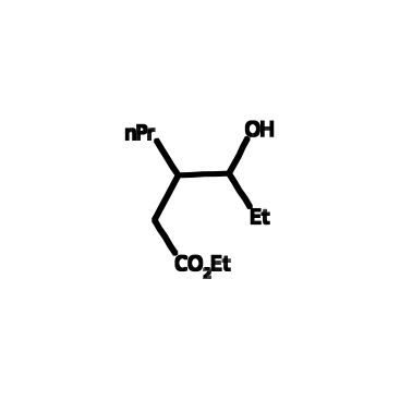 CCCC(CC(=O)OCC)C(O)CC